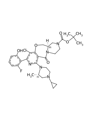 C[C@H]1CN(C2CC2)CCN1c1nc(-c2c(O)cccc2F)c(Cl)c2c1C(=O)N1CCN(C(=O)OC(C)(C)C)C[C@@H]1CO2